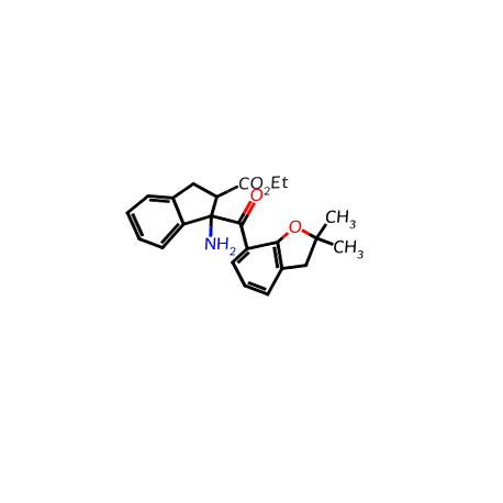 CCOC(=O)C1Cc2ccccc2C1(N)C(=O)c1cccc2c1OC(C)(C)C2